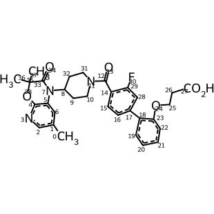 Cc1cnc2c(c1)N(C1CCN(C(=O)c3ccc(-c4ccccc4OCCC(=O)O)cc3F)CC1)C(=O)C(C)(C)O2